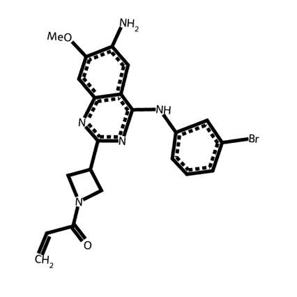 C=CC(=O)N1CC(c2nc(Nc3cccc(Br)c3)c3cc(N)c(OC)cc3n2)C1